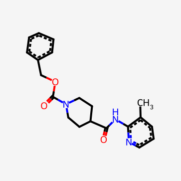 Cc1cccnc1NC(=O)C1CCN(C(=O)OCc2ccccc2)CC1